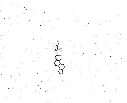 CCNC(=O)OC1=CCc2c(ccc3c4c(ccc23)=CC=C4)=C1